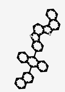 c1ccc2cc(-c3c4ccccc4c(-c4ccc5c(c4)sc4ccc6c(oc7ccc8ccccc8c76)c45)c4ccccc34)ccc2c1